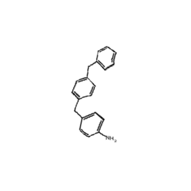 Nc1ccc(Cc2ccc(Cc3ccccc3)cc2)cc1